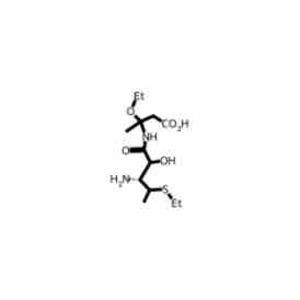 CCOC(C)(CC(=O)O)NC(=O)C(O)[C@@H](N)C(C)SCC